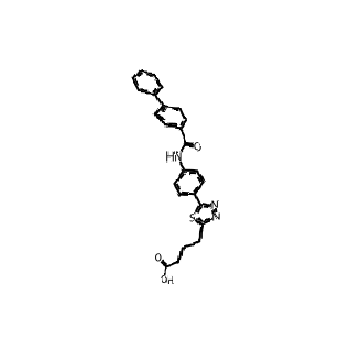 O=C(O)CCCc1nnc(-c2ccc(NC(=O)c3ccc(-c4ccccc4)cc3)cc2)s1